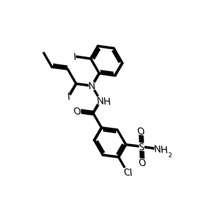 CC=CC(I)N(NC(=O)c1ccc(Cl)c(S(N)(=O)=O)c1)c1ccccc1I